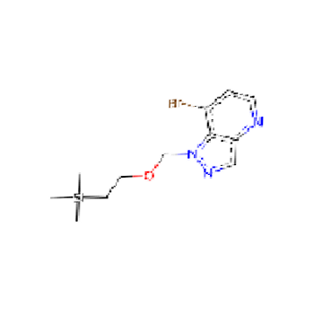 C[Si](C)(C)CCOCn1ncc2nccc(Br)c21